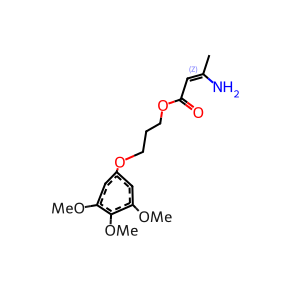 COc1cc(OCCCOC(=O)/C=C(/C)N)cc(OC)c1OC